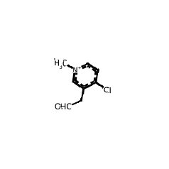 C[n+]1ccc(Cl)c(CC=O)c1